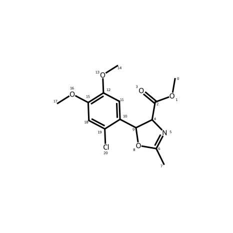 COC(=O)C1N=C(C)OC1c1cc(OC)c(OC)cc1Cl